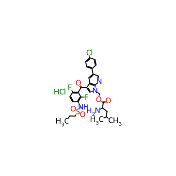 CCCS(=O)(=O)Nc1ccc(F)c(C(=O)c2cn(COC(=O)C(N)CC(C)C)c3ncc(-c4ccc(Cl)cc4)cc23)c1F.Cl